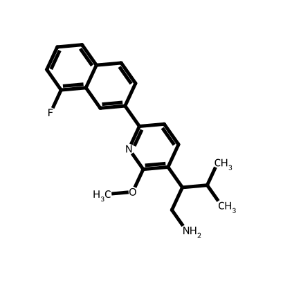 COc1nc(-c2ccc3cccc(F)c3c2)ccc1C(CN)C(C)C